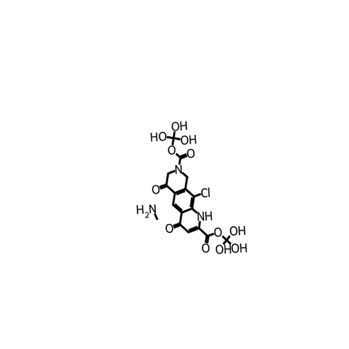 CN.O=C(OC(O)(O)O)c1cc(=O)c2cc3c(c(Cl)c2[nH]1)CN(C(=O)OC(O)(O)O)CC3=O